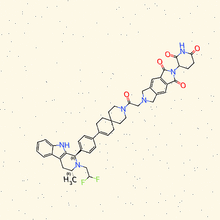 C[C@@H]1Cc2c([nH]c3ccccc23)[C@@H](c2ccc(C3=CCC4(CC3)CCN(C(=O)CN3Cc5cc6c(cc5C3)C(=O)N(C3CCC(=O)NC3=O)C6=O)CC4)cc2)N1CC(F)F